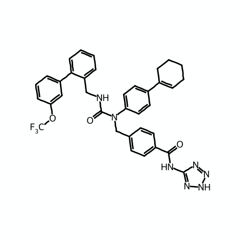 O=C(Nc1nn[nH]n1)c1ccc(CN(C(=O)NCc2ccccc2-c2cccc(OC(F)(F)F)c2)c2ccc(C3=CCCCC3)cc2)cc1